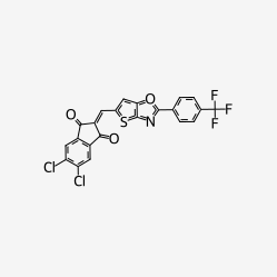 O=C1C(=Cc2cc3oc(-c4ccc(C(F)(F)F)cc4)nc3s2)C(=O)c2cc(Cl)c(Cl)cc21